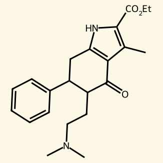 CCOC(=O)c1[nH]c2c(c1C)C(=O)C(CCN(C)C)C(c1ccccc1)C2